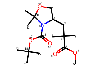 COC(=O)C(C)(C)CC1COC(C)(C)N1C(=O)OC(C)(C)C